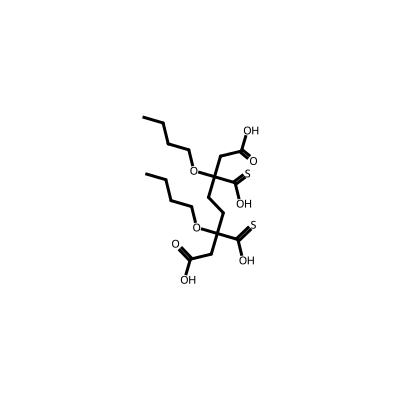 CCCCOC(CCC(CC(=O)O)(OCCCC)C(O)=S)(CC(=O)O)C(O)=S